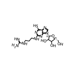 N=C(N)NCCCNc1nc(S)c2ncn([C@@H]3O[C@H](CO)C(O)C3O)c2n1